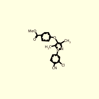 COC(=O)c1ccc(Oc2c(C)nn(-c3ccc(C#N)c(Cl)c3)c2C)cc1